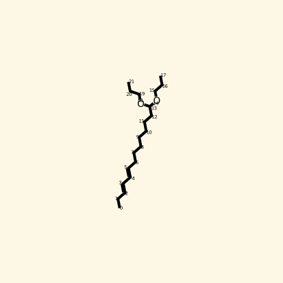 CCC=CC=CCCCCCCCC(OCCC)OCCC